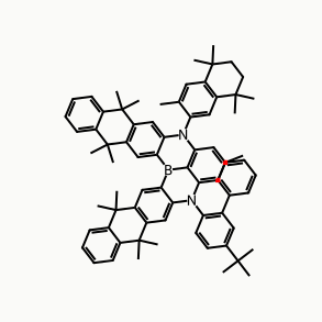 Cc1cc2c3c(c1)N(c1ccc(C(C)(C)C)cc1-c1ccccc1)c1cc4c(cc1B3c1cc3c(cc1N2c1cc2c(cc1C)C(C)(C)CCC2(C)C)C(C)(C)c1ccccc1C3(C)C)C(C)(C)c1ccccc1C4(C)C